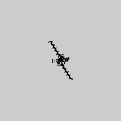 CCCCCCCCCCOP(=O)(O)C(C)(C(=O)OCC)P(=O)(O)OCCCCCCCCCC